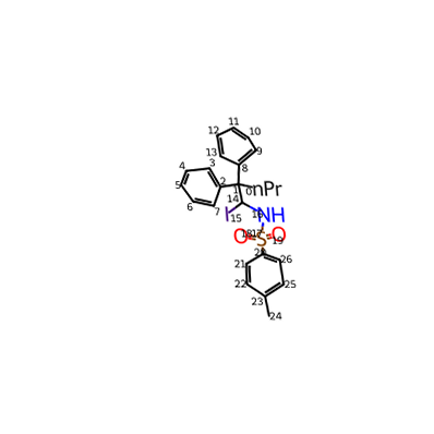 CCCC(c1ccccc1)(c1ccccc1)C(I)NS(=O)(=O)c1ccc(C)cc1